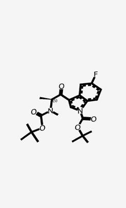 C[C@@H](C(=O)c1cn(C(=O)OC(C)(C)C)c2ccc(F)cc12)N(C)C(=O)OC(C)(C)C